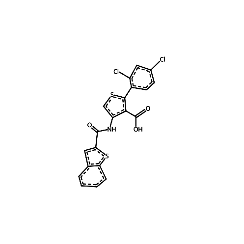 O=C(Nc1csc(-c2ccc(Cl)cc2Cl)c1C(=O)O)c1cc2ccccc2s1